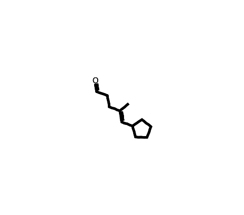 C/C(=C\C1CCCC1)CCC=O